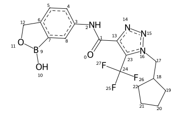 O=C(Nc1ccc2c(c1)B(O)OC2)c1nnn(CC2CCCC2)c1C(F)(F)F